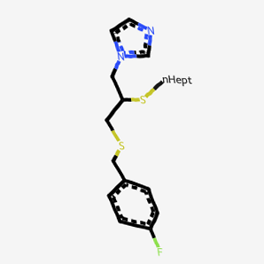 CCCCCCCSC(CSCc1ccc(F)cc1)Cn1ccnc1